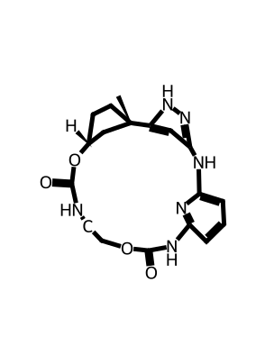 C[C@]12CC[C@H](C1)OC(=O)NCCOC(=O)Nc1cccc(n1)Nc1cc2[nH]n1